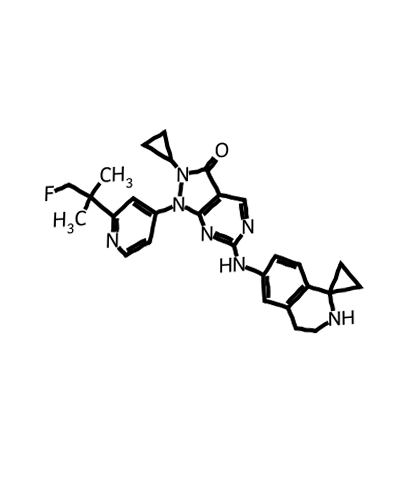 CC(C)(CF)c1cc(-n2c3nc(Nc4ccc5c(c4)CCNC54CC4)ncc3c(=O)n2C2CC2)ccn1